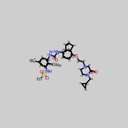 CCS(=O)(=O)Nc1cc(C(C)(C)C)cc(NC(=O)Nc2ccc(OCCN3CCN(CC4CC4)C(=O)C3)c3c2C=CC3)c1OC